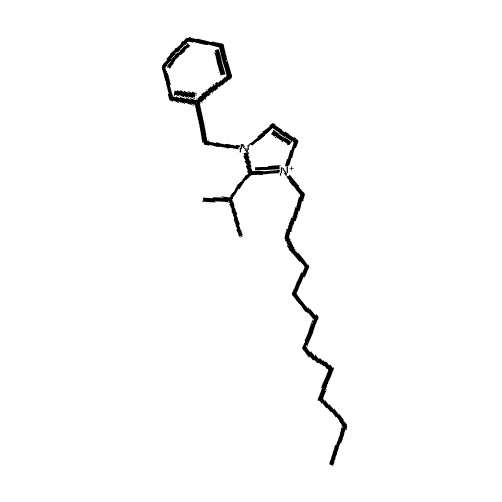 CCCCCCCCCC[n+]1ccn(Cc2ccccc2)c1C(C)C